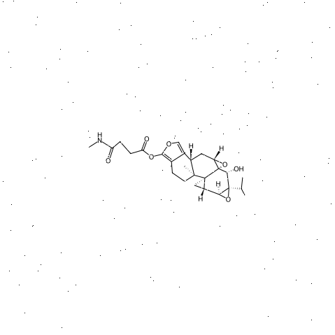 CNC(=O)CCC(=O)Oc1occ2c1CC[C@@]1(C)[C@H]2C[C@@H]2O[C@@]23[C@H](O)[C@@]2(C(C)C)O[C@H]2[C@@H]2C[C@@]231